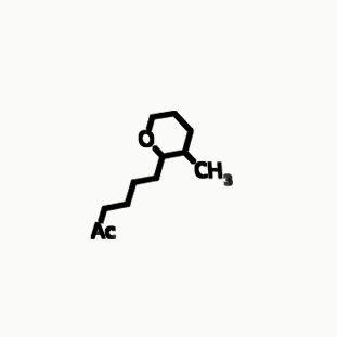 CC(=O)CCCCC1OCCCC1C